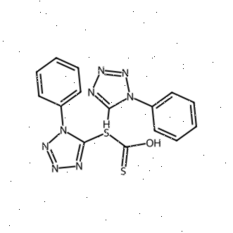 OC(=S)[SH](c1nnnn1-c1ccccc1)c1nnnn1-c1ccccc1